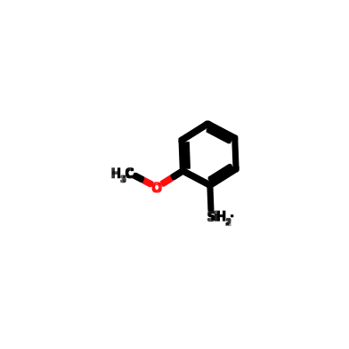 COc1ccccc1[SiH2]